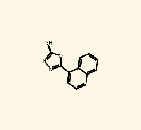 Sc1nnc(-c2cccc3ccccc23)o1